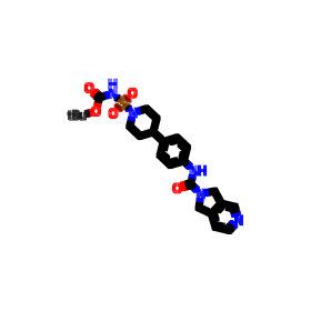 CC(C)(C)OC(=O)NS(=O)(=O)N1CCC(c2ccc(NC(=O)N3Cc4ccncc4C3)cc2)CC1